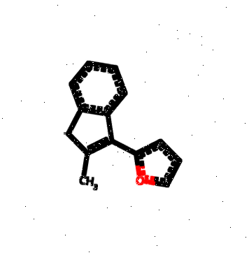 CC1=C(c2ccco2)c2ccccc2[CH]1